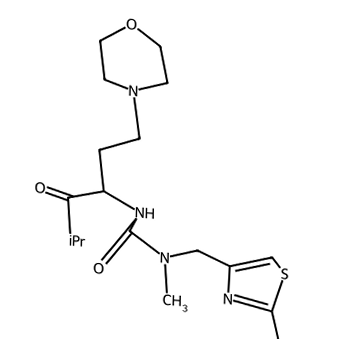 CC(C)C(=O)C(CCN1CCOCC1)NC(=O)N(C)Cc1csc(C(C)C)n1